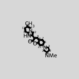 CN[C@H]1CCN(c2ccc3cc(C4=CN5C=C(C)C=CC5N4)c(=O)oc3c2)C1